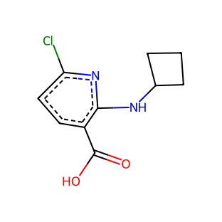 O=C(O)c1ccc(Cl)nc1NC1CCC1